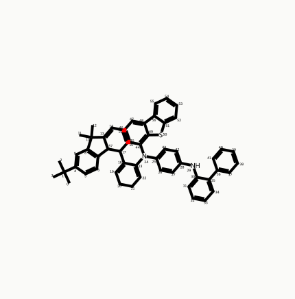 CC(C)(C)c1ccc2c(c1)C(C)(C)C1=CC=CC(C3=CCCC=C3N(c3ccc(Nc4ccccc4-c4ccccc4)cc3)c3cccc4c3sc3ccccc34)C12